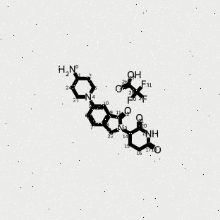 NC1CCN(c2ccc3c(c2)C(=O)N(C2CCC(=O)NC2=O)C3)CC1.O=C(O)C(F)(F)F